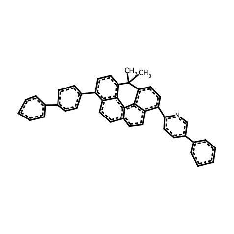 CC1(C)c2ccc(-c3ccc(-c4ccccc4)cc3)c3ccc4ccc5c(-c6ccc(-c7ccccc7)cn6)ccc1c5c4c23